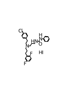 I.O=C(NCCCN(CCCc1cc(F)ccc1F)CCc1ccc(Cl)cc1)Nc1ccccc1